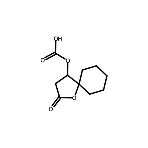 O=C(O)OC1CC(=O)OC12CCCCC2